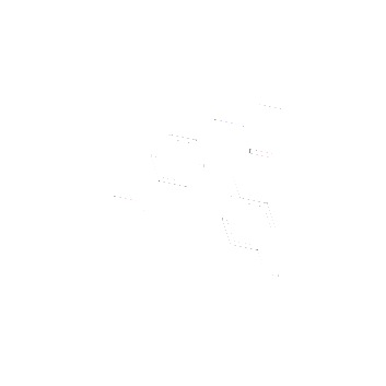 CCOC(=O)CN(Cc1ccc(OCC(=O)O)cc1)C(=O)Oc1ccc(OC)cc1